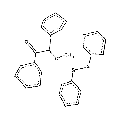 COC(C(=O)c1ccccc1)c1ccccc1.c1ccc(SSc2ccccc2)cc1